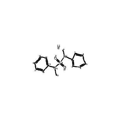 CN(c1ccccc1)S(=O)(=O)N(C)c1ccccc1.[Li]